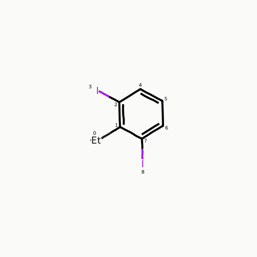 C[CH]c1c(I)cccc1I